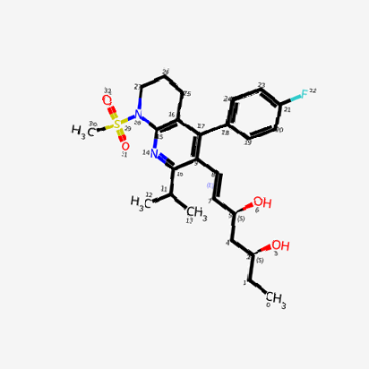 CC[C@H](O)C[C@H](O)/C=C/c1c(C(C)C)nc2c(c1-c1ccc(F)cc1)CCCN2S(C)(=O)=O